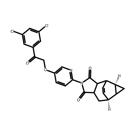 O=C(COc1ccc(N2C(=O)C3C[C@H]4C=CC(C3C2=O)[C@H]2CC24)nc1)c1cc(Cl)cc(Cl)c1